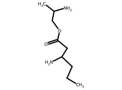 CCCC(N)CC(=O)OCC(C)N